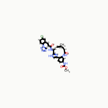 COC(=O)Nc1ccc2c(c1)NC(=O)CCC(C)=CCC(NC(=O)C=Cc1cc(Cl)ccc1-n1cnnn1)c1nc-2c[nH]1